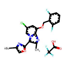 CCCCc1coc(-c2c(C)nc3c(OCc4c(F)cccc4F)cc(Cl)cn23)n1.O=C(O)C(F)(F)F